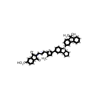 Cc1cc(-c2ccc3c(c2)C2CCCC2N3c2ccc3c(c2)-c2ccccc2C3(C)C)sc1/C=C/C=C1\C(=O)c2ccc(C(=O)O)cc2C1=O